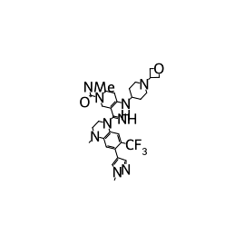 CNC(=O)N1CCC(NC2CCN(C3COC3)CC2)=C(C(=N)N2CCN(C)c3cc(-c4cnn(C)c4)c(C(F)(F)F)cc32)C1